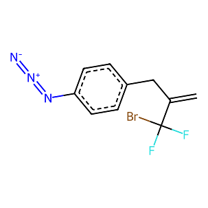 C=C(Cc1ccc(N=[N+]=[N-])cc1)C(F)(F)Br